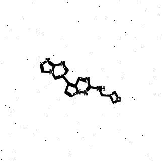 c1cn2cc(-c3ccn4nc(NCC5COC5)ncc34)cnc2n1